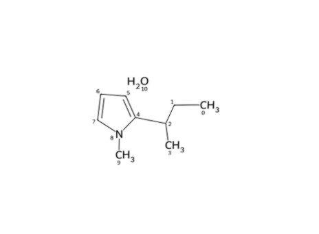 CCC(C)c1cccn1C.O